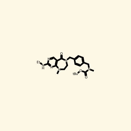 CCNc1ncc2c(n1)N(C)CCN(Cc1ccc(CN(C)C(=O)OC(C)(C)C)cc1)C2=O